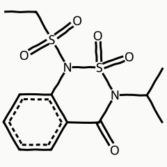 CCS(=O)(=O)N1c2ccccc2C(=O)N(C(C)C)S1(=O)=O